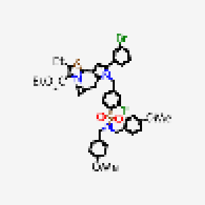 CCOC(=O)c1nc(-c2cc(-c3cccc(Br)c3)n(Cc3ccc(S(=O)(=O)N(Cc4ccc(OC)cc4)Cc4ccc(OC)cc4)c(F)c3)c2CC2CC2)sc1CC